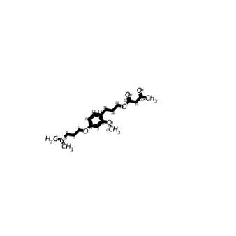 COc1cc(OCCCN(C)C)ccc1CCCOC(=O)CC(C)=O